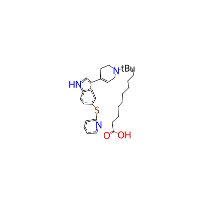 CC(C)(C)N1CC=C(c2c[nH]c3ccc(Sc4ccccn4)cc23)CC1.CCCCCCCCCC(=O)O